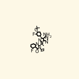 CC(C)Oc1ccc(-c2nn(C(C)c3nc4cccc(F)c4c(=O)n3C3CCC3)c3ncnc(N)c23)cc1F